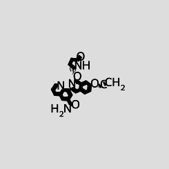 C=C=COc1ccc2ccnc(OC[C@@H]3CCC(=O)N3)c2c1.NC(=O)c1ccc2ncccc2c1